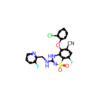 N#Cc1cc(F)c2c(c1Oc1ccccc1Cl)NC(NCc1ncccc1F)=NS2(=O)=O